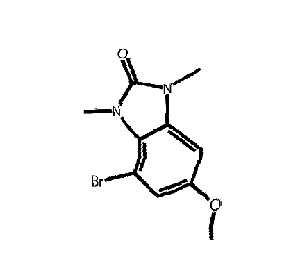 COc1cc(Br)c2c(c1)n(C)c(=O)n2C